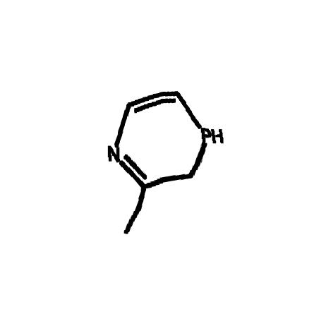 CC1=NC=CPC1